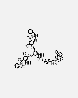 COc1cc2c(cc1OCc1cc(COc3cc4c(cc3OC)C(=O)N3c5ccccc5C[C@H]3CN4)cc(NC(=O)CCC(C)(C)SSCCC(S)C(=O)ON3C(=O)CCC3=O)c1)N=C[C@@H]1Cc3ccccc3N1C2=O